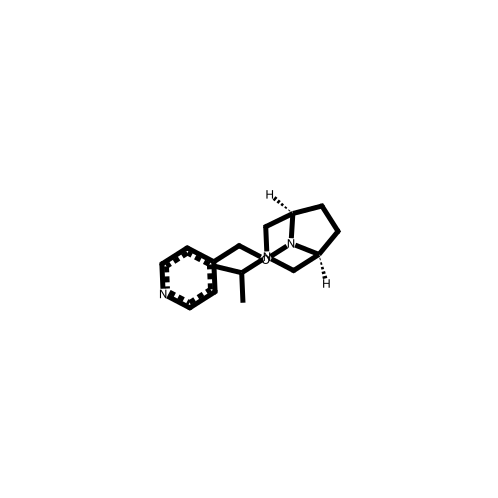 CC(C)N1C[C@H]2CC[C@@H](C1)N2OCc1ccncc1